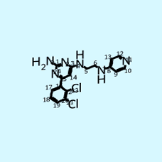 Nc1nc(NCCNc2ccncc2)cc(-c2cccc(Cl)c2Cl)n1